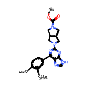 COc1ccc(-c2nc(N3CC4CN(C(=O)OC(C)(C)C)CC4C3)nc3[nH]cnc23)cc1SC